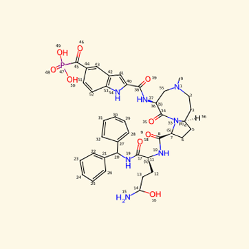 CN1CC[C@H]2CC[C@@H](C(=O)N[C@@H](CCC(N)O)C(=O)NC(c3ccccc3)c3ccccc3)N2C(=O)[C@@H](NC(=O)c2cc3cc(C(=O)P(=O)(O)O)ccc3[nH]2)C1